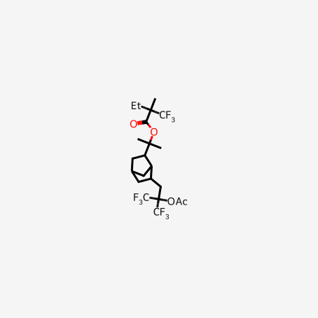 CCC(C)(C(=O)OC(C)(C)C1CC2CC(CC(OC(C)=O)(C(F)(F)F)C(F)(F)F)C1C2)C(F)(F)F